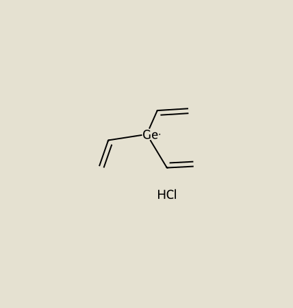 C=[CH][Ge]([CH]=C)[CH]=C.Cl